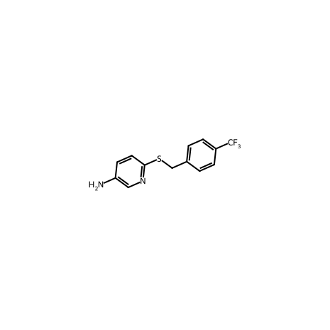 Nc1ccc(SCc2ccc(C(F)(F)F)cc2)nc1